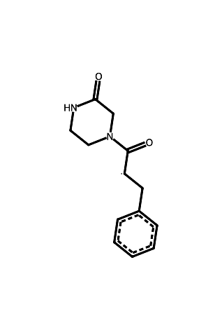 O=C1CN(C(=O)[CH]Cc2ccccc2)CCN1